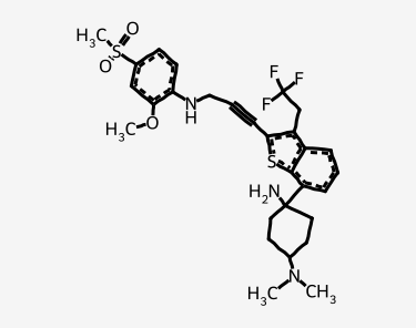 COc1cc(S(C)(=O)=O)ccc1NCC#Cc1sc2c(C3(N)CCC(N(C)C)CC3)cccc2c1CC(F)(F)F